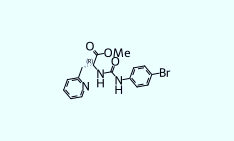 COC(=O)[C@@H](Cc1ccccn1)NC(=O)Nc1ccc(Br)cc1